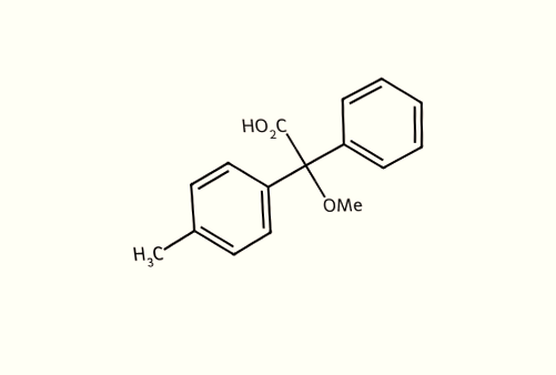 COC(C(=O)O)(c1ccccc1)c1ccc(C)cc1